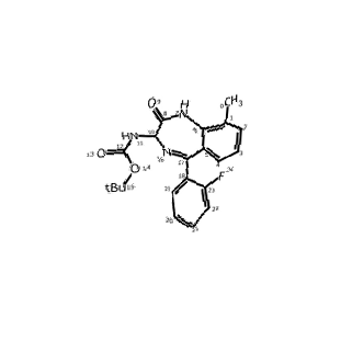 Cc1cccc2c1NC(=O)C(NC(=O)OC(C)(C)C)N=C2c1ccccc1F